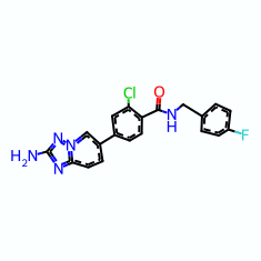 Nc1nc2ccc(-c3ccc(C(=O)NCc4ccc(F)cc4)c(Cl)c3)cn2n1